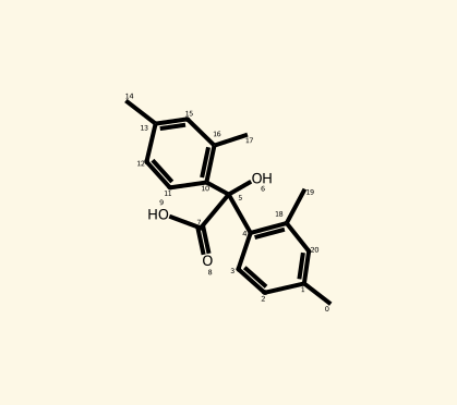 Cc1ccc(C(O)(C(=O)O)c2ccc(C)cc2C)c(C)c1